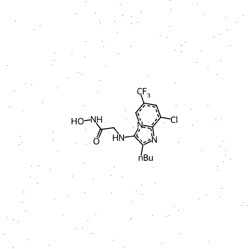 CCCCc1nc2c(Cl)cc(C(F)(F)F)cn2c1NCC(=O)NO